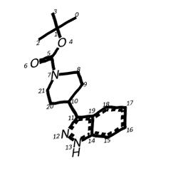 CC(C)(C)OC(=O)N1CCC(c2n[nH]c3ccccc23)CC1